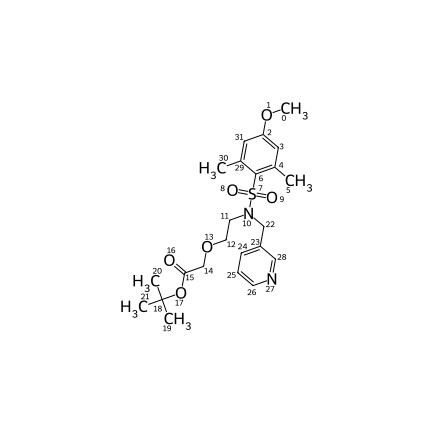 COc1cc(C)c(S(=O)(=O)N(CCOCC(=O)OC(C)(C)C)Cc2cccnc2)c(C)c1